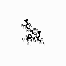 CC(C)[C@H](NC(=O)N[C@H](C(=O)N1C[C@H]2[C@@H]([C@H]1C(=O)NC(CC1CC1)C(=O)C(N)=O)C2(C)C)C(C)(C)C)C(=O)C1CC1